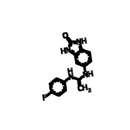 C=C(Nc1ccc(F)cc1)Nc1ccc2[nH]c(=O)[nH]c2c1